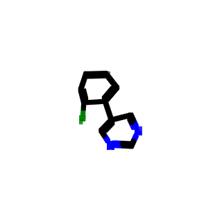 Fc1cc[c]cc1-c1cncnc1